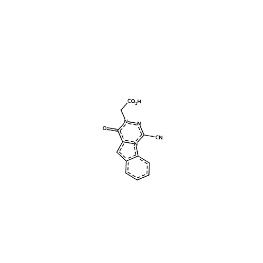 N#Cc1nn(CC(=O)O)c(=O)c2cc3ccccc3n12